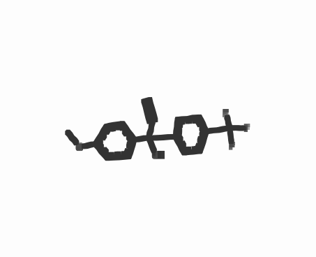 C#CC(O)(c1ccc(OC)cc1)c1ccc(C(F)(F)F)cc1